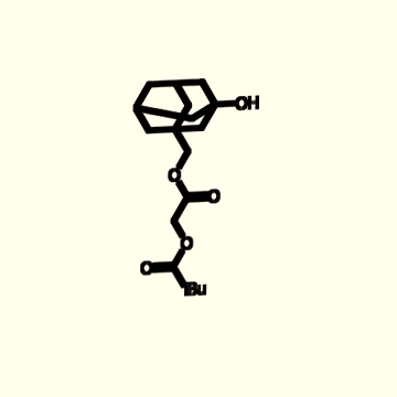 CCC(C)C(=O)OCC(=O)OCC12CC3CC(CC(O)(C3)C1)C2